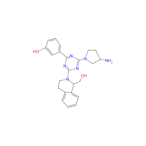 NC1CCN(c2nc(-c3cccc(O)c3)nc(N3CCc4ccccc4C3CO)n2)C1